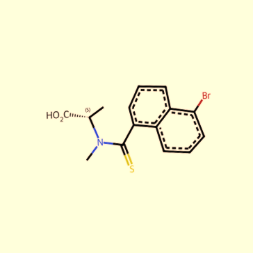 C[C@@H](C(=O)O)N(C)C(=S)c1cccc2c(Br)cccc12